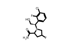 NC(=O)C1CC(F)CN1[C@@H](CO)c1cccc(Cl)c1F